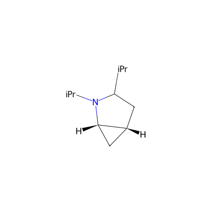 CC(C)C1C[C@@H]2C[C@@H]2N1C(C)C